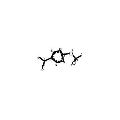 CC(=O)Oc1ccc(C(C)F)cc1